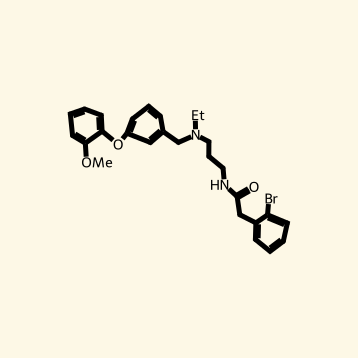 CCN(CCCNC(=O)Cc1ccccc1Br)Cc1cccc(Oc2ccccc2OC)c1